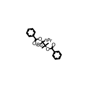 CCCC(OC(=O)c1ccccc1)(C(C)CC)C(C)(C)OC(=O)c1ccccc1